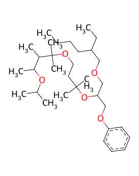 CCCCC(CC)COCC(COc1ccccc1)OC(C)(C)CCOC(C)(C)C(C)C(C)OC(C)C